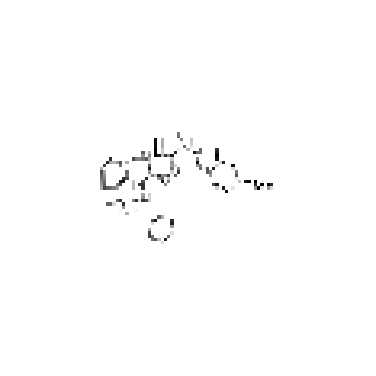 COc1ccc2cc([C@H](C)C(=O)N[C@H](Cc3ccccc3)C(=O)N[C@H](Cc3ccccc3)C(=O)O)ccc2c1